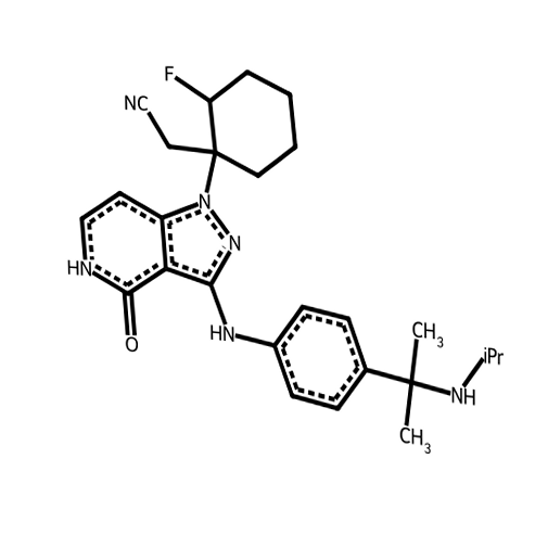 CC(C)NC(C)(C)c1ccc(Nc2nn(C3(CC#N)CCCCC3F)c3cc[nH]c(=O)c23)cc1